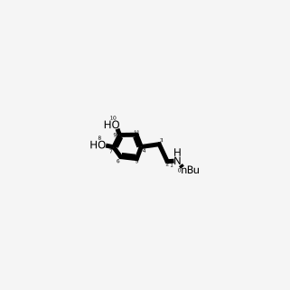 CCCCNCCc1ccc(O)c(O)c1